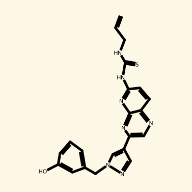 C=CCNC(=S)Nc1ccc2ncc(-c3cnn(Cc4cccc(O)c4)c3)nc2n1